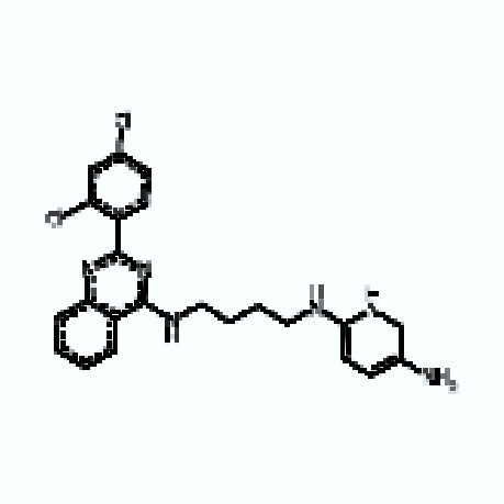 NC1=CC=C(NCCCCNc2nc(-c3ccc(Cl)cc3Cl)nc3ccccc23)NC1